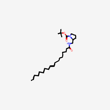 CCCCCCCCC=CCCCCCCCC(=O)NCC1CCCN1C(=O)OC(C)(C)C